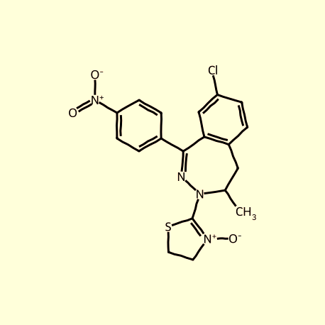 CC1Cc2ccc(Cl)cc2C(c2ccc([N+](=O)[O-])cc2)=NN1C1=[N+]([O-])CCS1